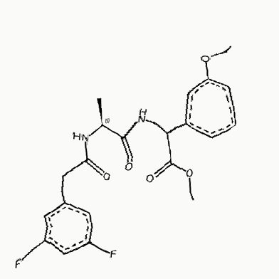 COC(=O)C(NC(=O)[C@H](C)NC(=O)Cc1cc(F)cc(F)c1)c1cccc(OC)c1